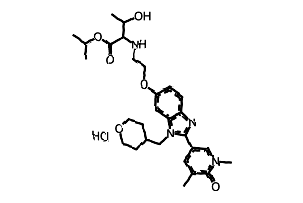 Cc1cc(-c2nc3ccc(OCCNC(C(=O)OC(C)C)C(C)O)cc3n2CC2CCOCC2)cn(C)c1=O.Cl